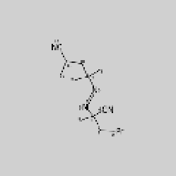 CC(C)CC(C)(C#N)N=NC(C)(C)CC(C)C#N